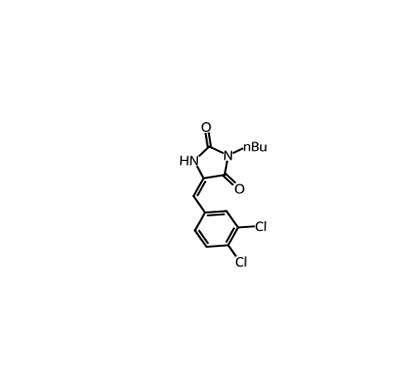 CCCCN1C(=O)NC(=Cc2ccc(Cl)c(Cl)c2)C1=O